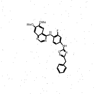 COc1cc2ncnc(Nc3ccc(Nc4nc(Cc5ccccc5)no4)cc3F)c2cc1OC